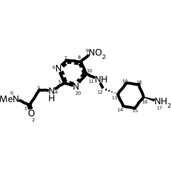 CNC(=O)CNc1ncc([N+](=O)[O-])c(NC[C@H]2CC[C@H](N)CC2)n1